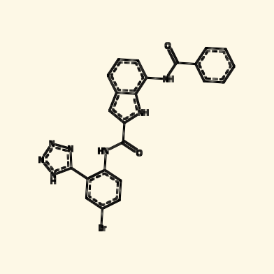 O=C(Nc1cccc2cc(C(=O)Nc3ccc(Br)cc3-c3nnn[nH]3)[nH]c12)c1ccccc1